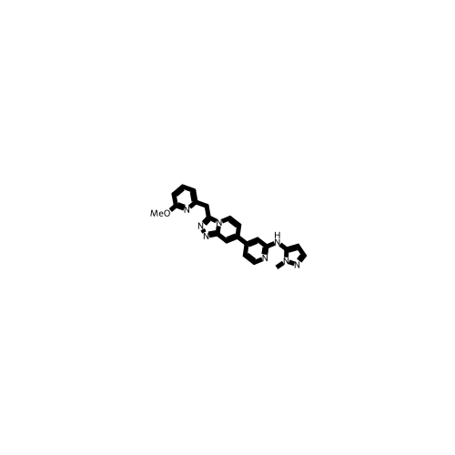 COc1cccc(Cc2nnc3cc(-c4ccnc(Nc5ccnn5C)c4)ccn23)n1